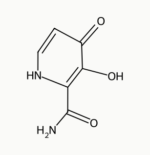 NC(=O)c1[nH]ccc(=O)c1O